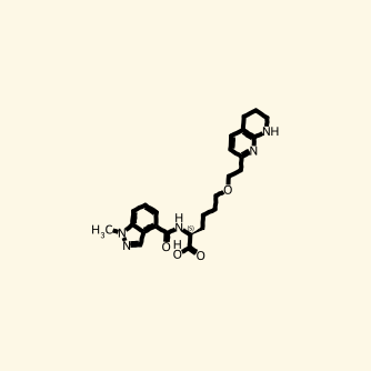 Cn1ncc2c(C(=O)N[C@@H](CCCCOCCc3ccc4c(n3)NCCC4)C(=O)O)cccc21